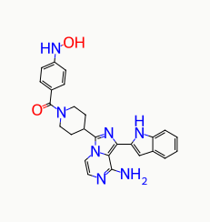 Nc1nccn2c(C3CCN(C(=O)c4ccc(NO)cc4)CC3)nc(-c3cc4ccccc4[nH]3)c12